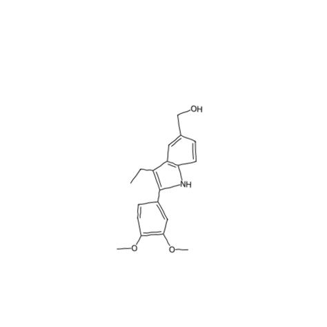 CCc1c(-c2ccc(OC)c(OC)c2)[nH]c2ccc(CO)cc12